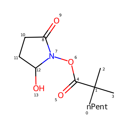 CCCCCC(C)(C)C(=O)ON1C(=O)CCC1O